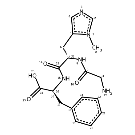 Cn1cncc1C[C@H](NC(=O)CN)C(=O)N[C@@H](Cc1ccccc1)C(=O)O